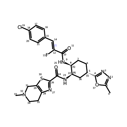 Cc1nnc([C@H]2CC[C@H](NC(=O)/C(F)=C/c3ccc(Cl)cc3)[C@H](NC(=O)c3nc4c(s3)CN(C)CC4)C2)o1